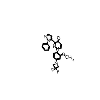 COc1cc(N2CC(F)(F)C2)ccc1-n1ccc(=O)c(-c2ccnn2-c2ccccc2)n1